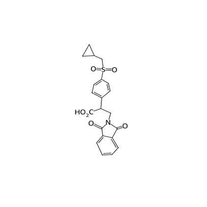 O=C(O)C(CN1C(=O)c2ccccc2C1=O)c1ccc(S(=O)(=O)CC2CC2)cc1